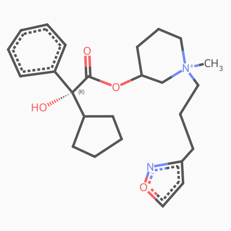 C[N+]1(CCCc2ccon2)CCCC(OC(=O)[C@](O)(c2ccccc2)C2CCCC2)C1